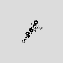 C[Si](C)(C)CCOCn1ccc2c(Oc3ccc(C[C@H](NC(=O)O)C(=O)NC4CCCCC4)cc3)ccnc21